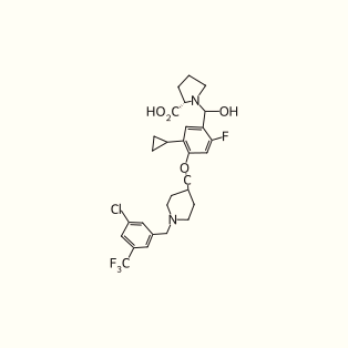 O=C(O)[C@@H]1CCCN1C(O)c1cc(C2CC2)c(OCC2CCN(Cc3cc(Cl)cc(C(F)(F)F)c3)CC2)cc1F